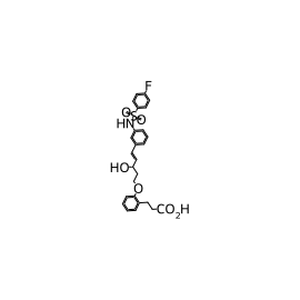 O=C(O)CCc1ccccc1OCC[C@@H](O)/C=C/c1cccc(NS(=O)(=O)c2ccc(F)cc2)c1